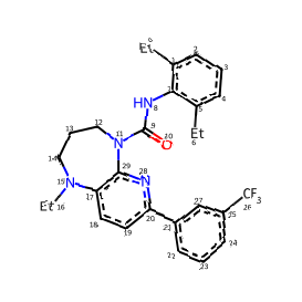 CCc1cccc(CC)c1NC(=O)N1CCCN(CC)c2ccc(-c3cccc(C(F)(F)F)c3)nc21